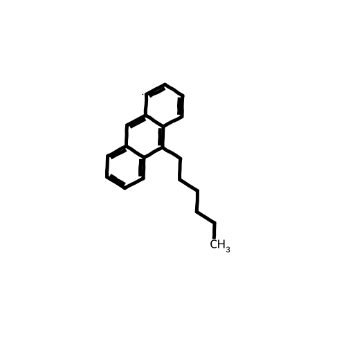 CCCCCCc1c2ccc[c]c2cc2ccccc12